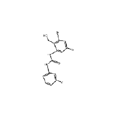 O=C(Nc1cccc(Cl)c1)Nc1cc(Br)cc(Br)c1CO